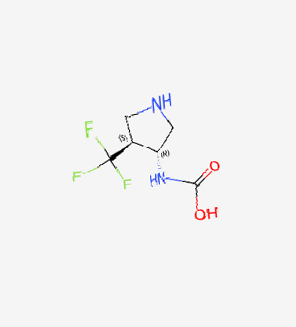 O=C(O)N[C@H]1CNC[C@@H]1C(F)(F)F